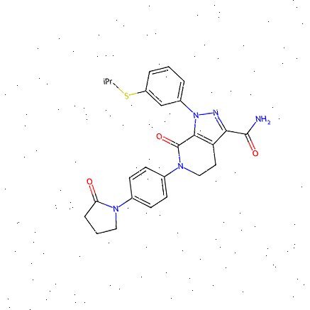 CC(C)Sc1cccc(-n2nc(C(N)=O)c3c2C(=O)N(c2ccc(N4CCCC4=O)cc2)CC3)c1